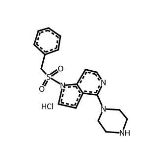 Cl.O=S(=O)(Cc1ccccc1)n1ccc2c(N3CCNCC3)nccc21